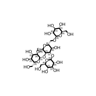 CC[C@@H]1O[C@H](CO[C@@H]2O[C@H](CO)[C@@H](O)[C@H](O)[C@H]2O)[C@@H](O)[C@H](O[C@@H]2O[C@H](CO)[C@@H](O)[C@H](O)[C@H]2O)[C@H]1O[C@@H]1O[C@H](CO)[C@@H](O)[C@H](O)[C@H]1O